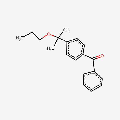 CCCOC(C)(C)c1ccc(C(=O)c2ccccc2)cc1